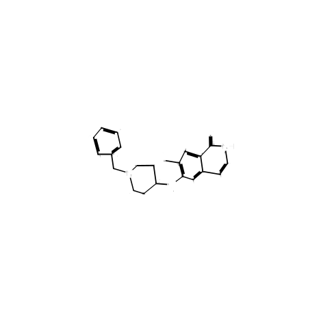 O=c1[nH]ccc2cc(OC3CCN(Cc4ccccc4)CC3)c(Cl)cc12